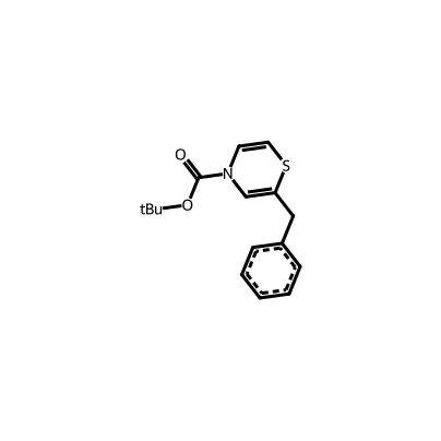 CC(C)(C)OC(=O)N1C=CSC(Cc2ccccc2)=C1